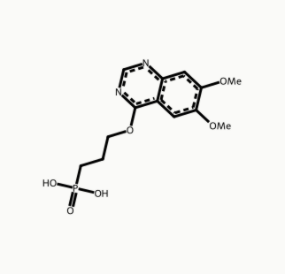 COc1cc2ncnc(OCCCP(=O)(O)O)c2cc1OC